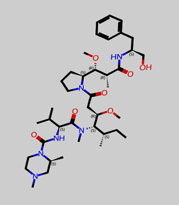 CC[C@H](C)[C@@H]([C@@H](CC(=O)N1CCC[C@H]1[C@H](OC)[C@@H](C)C(=O)N[C@H](CO)Cc1ccccc1)OC)N(C)C(=O)[C@@H](NC(=O)N1CCN(C)C[C@@H]1C)C(C)C